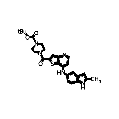 Cc1cc2cc(Nc3ccnc4cc(C(=O)N5CCN(C(=O)OC(C)(C)C)CC5)sc34)ccc2[nH]1